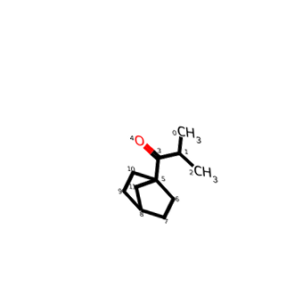 CC(C)C(=O)C12CCC(CC1)C2